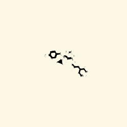 O=C(O)C(CNc1ncnc(N(Cc2ccc(C(F)(F)F)cc2)C2CC2)c1F)CC1CCOCC1